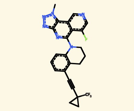 Cn1nnc2nc(N3CCCc4c(C#CC5(C(F)(F)F)CC5)cccc43)c3c(F)cncc3c21